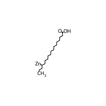 CCC[CH]([Zn])CCCCCCCCCCCCCC(=O)O